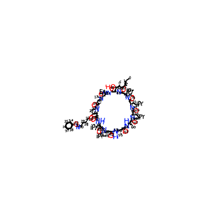 C/C=C/C[C@@H](C)[C@@H](O)[C@H]1C(=O)N[C@@H](CC)C(=O)N(C)CC(=O)N(C)[C@@H]([C@@H](C)OCCC/C=N\Oc2ccccc2)C(=O)N[C@@H](C(C)C)C(=O)N(C)[C@@H](CC(C)C)C(=O)N[C@@H](C)C(=O)N[C@H](C)C(=O)N(C)[C@@H](CC(C)C)C(=O)N(C)[C@H](CC(C)C)C(=O)N(C)[C@@H](C(C)C)C(=O)N1C